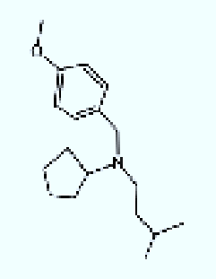 COc1ccc(CN(CCC(C)C)C2CCCC2)cc1